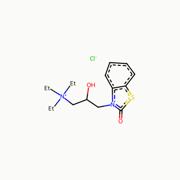 CC[N+](CC)(CC)CC(O)Cn1c(=O)sc2ccccc21.[Cl-]